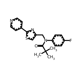 CC(C)(C)C(=O)N(Cc1csc(-c2ccncc2)n1)c1ccc(F)cc1